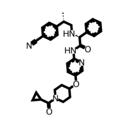 C[C@H](CN[C@@H](C(=O)Nc1ccc(OC2CCN(C(=O)C3CC3)CC2)cn1)c1ccccc1)c1ccc(C#N)cc1